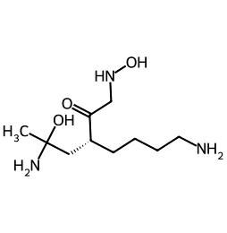 CC(N)(O)C[C@@H](CCCCN)C(=O)CNO